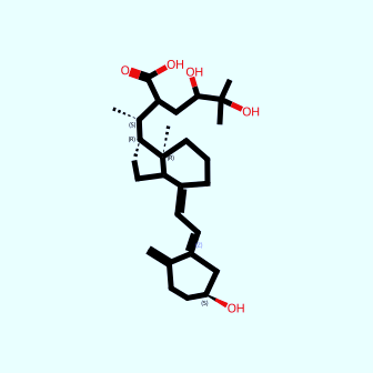 C=C1CC[C@H](O)C/C1=C/C=C1CCC[C@@]2(C)C1CC[C@@H]2[C@H](C)C(CC(O)C(C)(C)O)C(=O)O